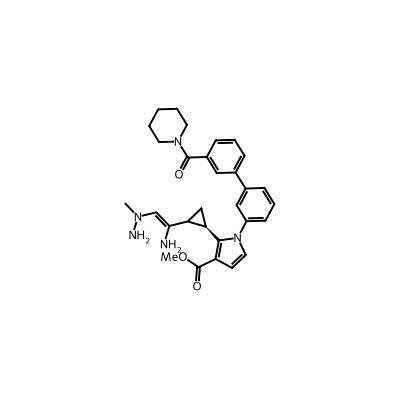 COC(=O)c1ccn(-c2cccc(-c3cccc(C(=O)N4CCCCC4)c3)c2)c1[C@@H]1CC1/C(N)=C/N(C)N